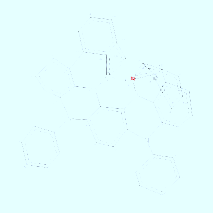 c1ccc(N2c3cccc4c3B(c3c2ccc2c3B3c5c(cccc5N2c2ccccc2)-c2cccc5ccn3c25)n2ccc3cccc-4c32)cc1